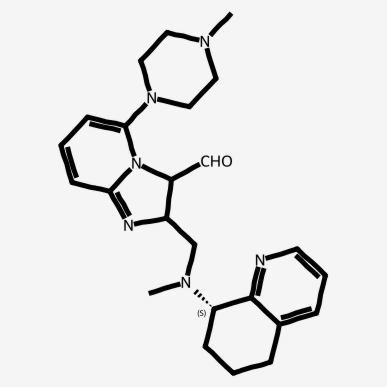 CN1CCN(C2=CC=CC3=NC(CN(C)[C@H]4CCCc5cccnc54)C(C=O)N23)CC1